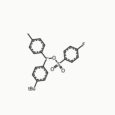 Cc1ccc([I+](OS(=O)(=O)c2ccc(F)cc2)c2ccc(C(C)(C)C)cc2)cc1